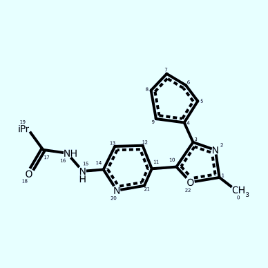 Cc1nc(-c2ccccc2)c(-c2ccc(NNC(=O)C(C)C)nc2)o1